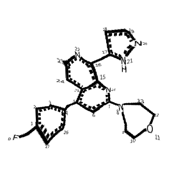 Fc1ccc(-c2cc(N3CCOCC3)nc3c(-c4ccn[nH]4)nccc23)cc1